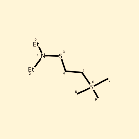 CCN(CC)SCCS(C)(C)C